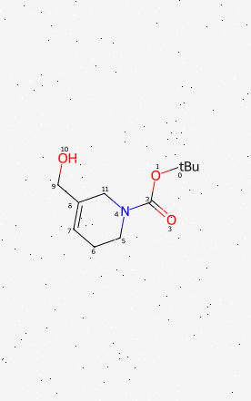 CC(C)(C)OC(=O)N1CCC=C(CO)C1